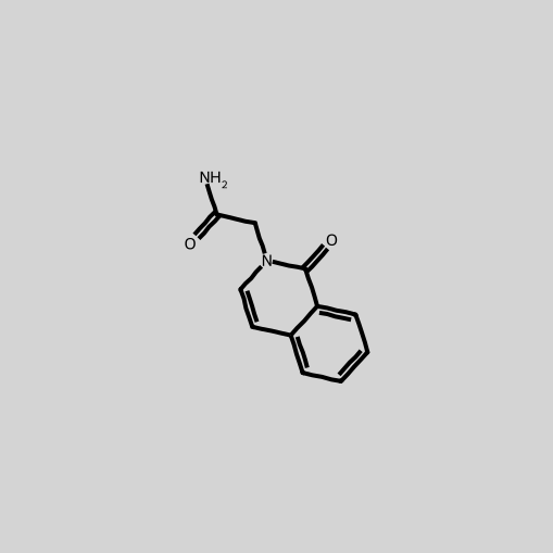 NC(=O)Cn1ccc2ccccc2c1=O